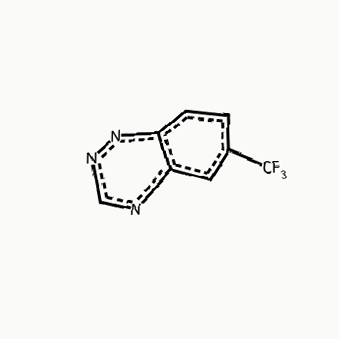 FC(F)(F)c1ccc2nncnc2c1